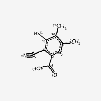 Cc1cc(C(=O)O)c(C#N)c(S)c1C